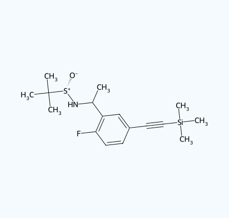 CC(N[S@@+]([O-])C(C)(C)C)c1cc(C#C[Si](C)(C)C)ccc1F